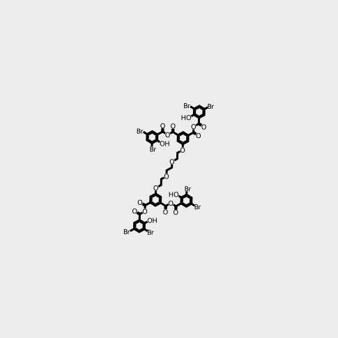 O=C(OC(=O)c1cc(Br)cc(Br)c1O)c1cc(OCCOCCOCCOc2cc(C(=O)OC(=O)c3cc(Br)cc(Br)c3O)cc(C(=O)OC(=O)c3cc(Br)cc(Br)c3O)c2)cc(C(=O)OC(=O)c2cc(Br)cc(Br)c2O)c1